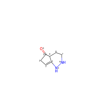 O=C1CC=C2NNCCC12